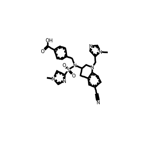 Cn1cnc(S(=O)(=O)N(Cc2ccc(C(=O)O)cc2)C2Cc3cc(C#N)ccc3N(Cc3cncn3C)C2)c1